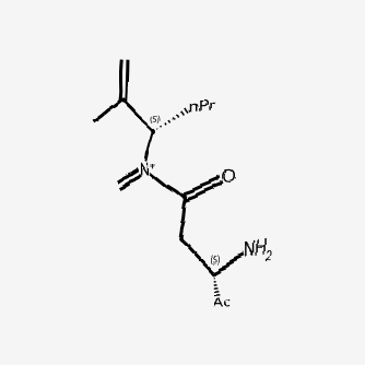 C=C(C)[C@H](CCC)[N+](=C)C(=O)C[C@H](N)C(C)=O